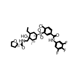 CCC1C[C@@H](S(=O)(=O)c2cc(C(=O)Nc3cc(F)c(F)c(F)c3)ccc2Cl)C[C@H](C)[C@@]1(O)CNC(=O)[C@@H]1CCCO1